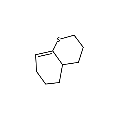 [CH]1CCC2CCCC=C2S1